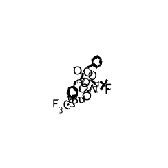 CN(C(=O)OC(C)(C)C)[C@@H](CC(C)(C)F)C(=O)O[C@@H](Cc1ccc(SC(F)(F)F)cc1)C(=O)OCc1ccccc1